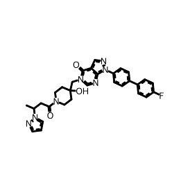 CC(CC(=O)N1CCC(O)(Cn2cnc3c(cnn3-c3ccc(-c4ccc(F)cc4)cc3)c2=O)CC1)n1cccn1